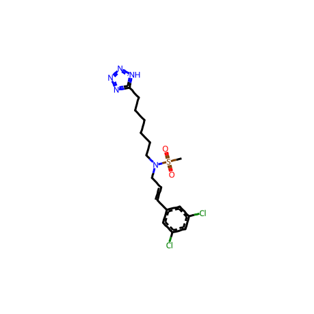 CS(=O)(=O)N(CC=Cc1cc(Cl)cc(Cl)c1)CCCCCCc1nnn[nH]1